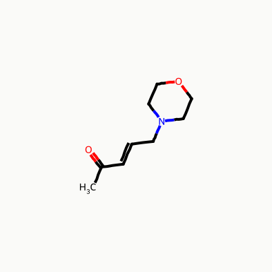 CC(=O)C=CCN1CCOCC1